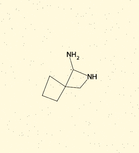 N[C]1NCC12CCC2